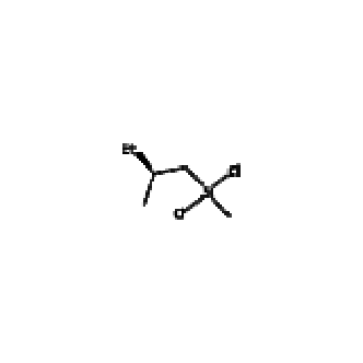 CC[C@H](C)C[Si](C)(Cl)Cl